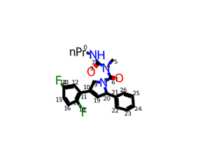 CCCNC(=O)N(C)C(=O)N1CC(c2cc(F)ccc2F)=CC1c1ccccc1